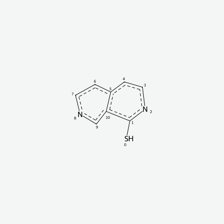 Sc1nccc2ccncc12